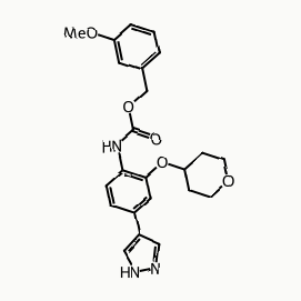 COc1cccc(COC(=O)Nc2ccc(-c3cn[nH]c3)cc2OC2CCOCC2)c1